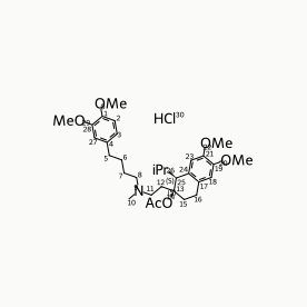 COc1ccc(CCCCN(C)CC[C@@]2(OC(C)=O)CCc3cc(OC)c(OC)cc3[C@@H]2C(C)C)cc1OC.Cl